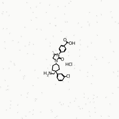 C[C@H]1CN([C@H]2CC[C@@](CN)(c3cccc(Cl)c3)CC2)C(=O)N1c1ccc(C(=O)O)cc1.Cl